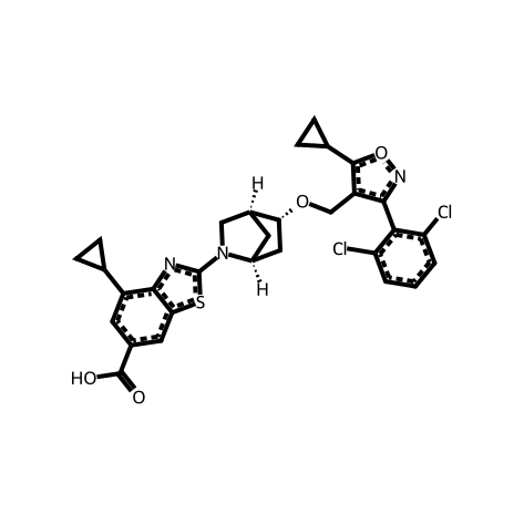 O=C(O)c1cc(C2CC2)c2nc(N3C[C@@H]4C[C@H]3C[C@H]4OCc3c(-c4c(Cl)cccc4Cl)noc3C3CC3)sc2c1